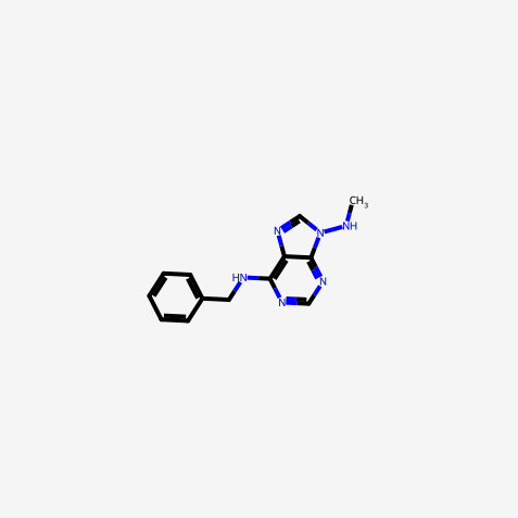 CNn1cnc2c(NCc3ccccc3)ncnc21